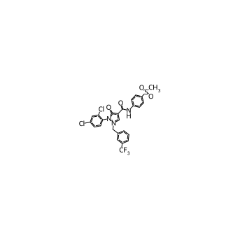 CS(=O)(=O)c1ccc(NC(=O)c2cn(Cc3cccc(C(F)(F)F)c3)n(-c3ccc(Cl)cc3Cl)c2=O)cc1